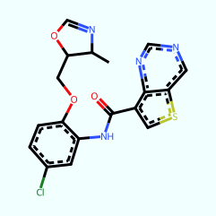 CC1N=COC1COc1ccc(Cl)cc1NC(=O)c1csc2cncnc12